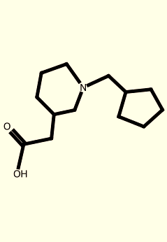 O=C(O)CC1CCCN(CC2CCCC2)C1